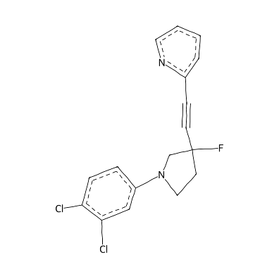 FC1(C#Cc2ccccn2)CCN(c2ccc(Cl)c(Cl)c2)C1